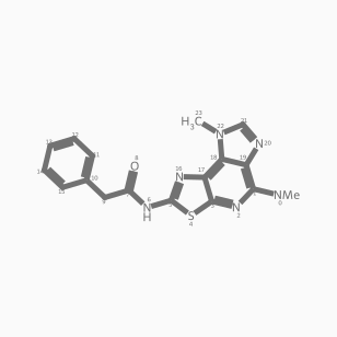 CNc1nc2sc(NC(=O)Cc3ccccc3)nc2c2c1ncn2C